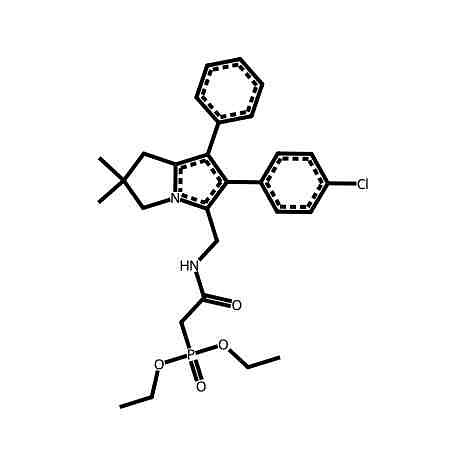 CCOP(=O)(CC(=O)NCc1c(-c2ccc(Cl)cc2)c(-c2ccccc2)c2n1CC(C)(C)C2)OCC